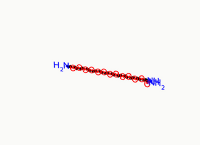 NCCOCCOCCOCCOCCOCCOCCOCCOCCOCCOCCOCCOCCC(=O)NN